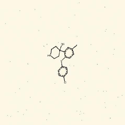 Cc1ccc(Sc2ccc(Cl)cc2)c(C2(O)CCNCC2)c1